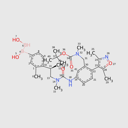 Cc1cc(B(O)BO)ccc1[C@@H](C)CN(C)C(=O)Nc1ccc(-c2c(C)noc2C)c(CN(C)C(=O)OC(C)(C)C)c1